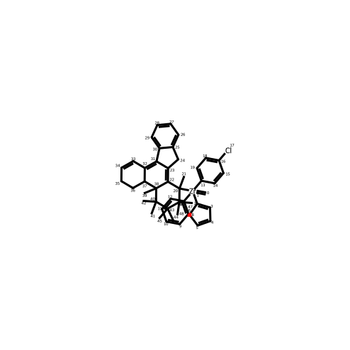 [CH2]=[Zr]([C]1=CC=CC1)([c]1ccccc1)([c]1ccc(Cl)cc1)[C]1(C)C2=C3Cc4ccccc4C3=C3C=CCCC3C2(C)C(C)(C)C(C)(C)C1(C)C